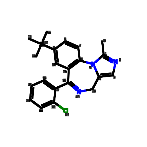 Cc1ncc2n1-c1ccc([Si](C)(C)C)cc1C(c1ccccc1Cl)=NC2